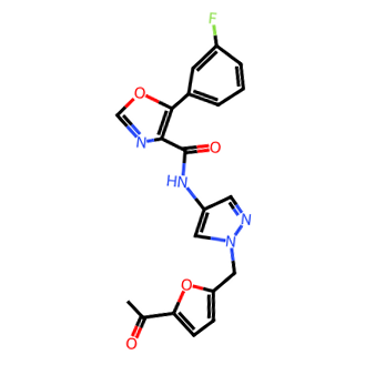 CC(=O)c1ccc(Cn2cc(NC(=O)c3ncoc3-c3cccc(F)c3)cn2)o1